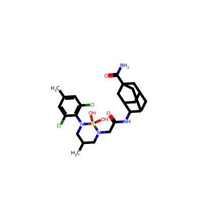 Cc1cc(Cl)c(N2CC(C)CN(CC(=O)NC3C4CC5CC3CC(C(N)=O)(C5)C4)S2(O)O)c(Cl)c1